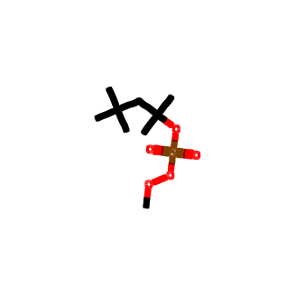 COOS(=O)(=O)OC(C)(C)CC(C)(C)C